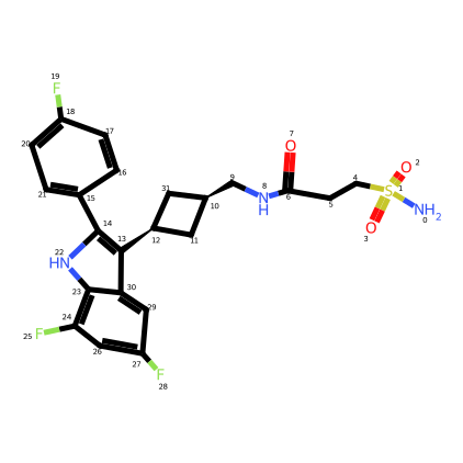 NS(=O)(=O)CCC(=O)NC[C@H]1C[C@@H](c2c(-c3ccc(F)cc3)[nH]c3c(F)cc(F)cc32)C1